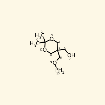 CC1(C)OCC(CO)(COP)CO1